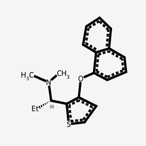 CC[C@@H](c1sccc1Oc1cccc2ccccc12)N(C)C